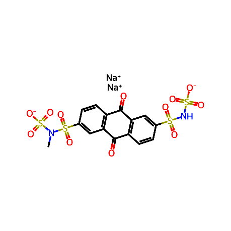 CN(S(=O)(=O)[O-])S(=O)(=O)c1ccc2c(c1)C(=O)c1ccc(S(=O)(=O)NS(=O)(=O)[O-])cc1C2=O.[Na+].[Na+]